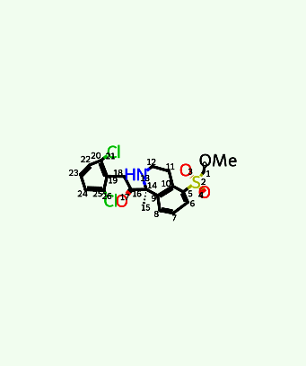 COCS(=O)(=O)c1cccc2c1CCN[C@]2(C)C(=O)Cc1c(Cl)cccc1Cl